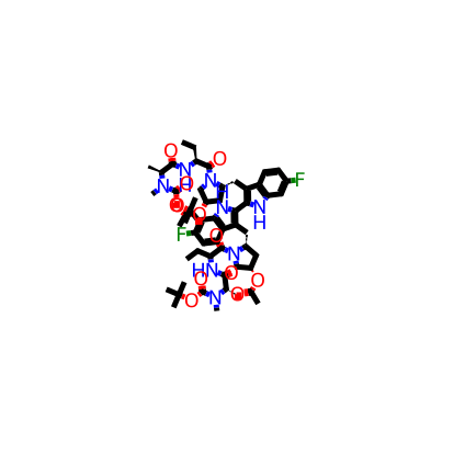 CCC(NC(=O)[C@H](C)N(C)C(=O)OC(C)(C)C)C(=O)N1C[C@@H](OC(C)=O)C[C@H]1Cc1c(-c2[nH]c3cc(F)ccc3c2C[C@@H]2CC(OC(C)=O)CN2C(=O)[C@H](CC)NC(=O)[C@H](C)N(C)C(=O)OC(C)(C)C)[nH]c2cc(F)ccc12